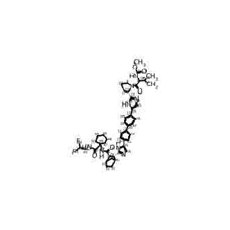 COC(=O)NC(C(=O)N1CCC[C@H]1c1ncc(-c2ccc(-c3ccc(-c4cnc([C@@H]5C6CCC(C6)[C@H]5C(=O)NC5(C(=O)NCC(F)F)CCCCC5)[nH]4)cc3)cc2)[nH]1)C(C)C